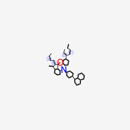 C=C/C=C\C(=C/C)c1ccc(N(c2ccc(-c3cccc4ccccc34)cc2)c2cccc3c2C(=O)/C(=C/C=C\C)C3=C)cc1